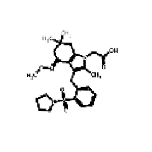 CO/N=C1\CC(C)(C)Cc2c1c(Cc1ccccc1S(=O)(=O)N1CCCC1)c(C)n2CC(=O)O